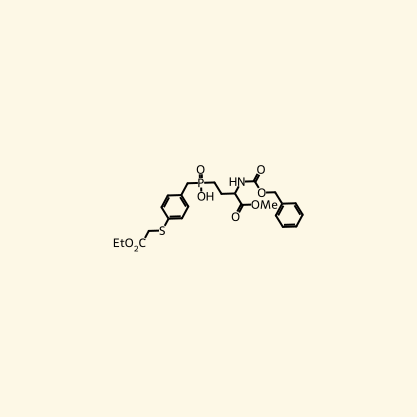 CCOC(=O)CSc1ccc(CP(=O)(O)CCC(NC(=O)OCc2ccccc2)C(=O)OC)cc1